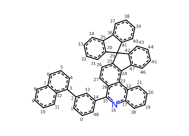 c1cc(-c2cccc3ccccc23)cc(-c2nc3ccccc3c3c4c(ccc23)C2(c3ccccc3-c3ccccc32)c2ccccc2-4)c1